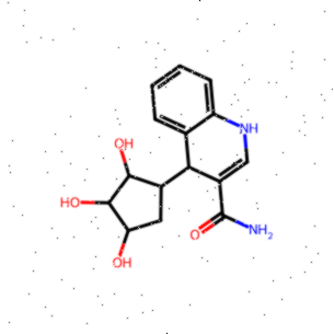 NC(=O)C1=CNc2ccccc2C1C1CC(O)C(O)C1O